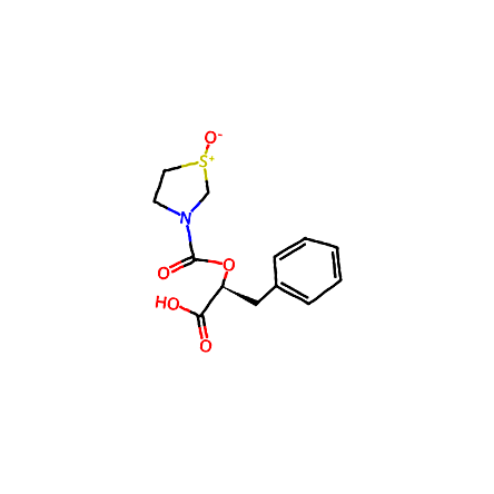 O=C(O)[C@H](Cc1ccccc1)OC(=O)N1CC[S+]([O-])C1